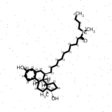 CCCCN(C)C(=O)CCCCCCCCCC[C@@H]1Cc2cc(O)ccc2[C@H]2CC[C@]3(C)[C@@H](O)CC[C@H]3[C@@H]12